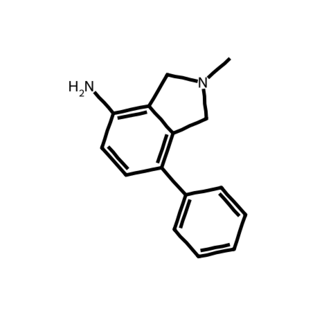 CN1Cc2c(N)ccc(-c3ccccc3)c2C1